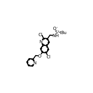 CC(C)(C)[S@@+]([O-])NCc1cc2cc(Cl)c(OCc3ccccn3)cc2nc1Cl